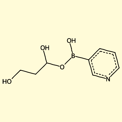 OCCC(O)OB(O)c1cccnc1